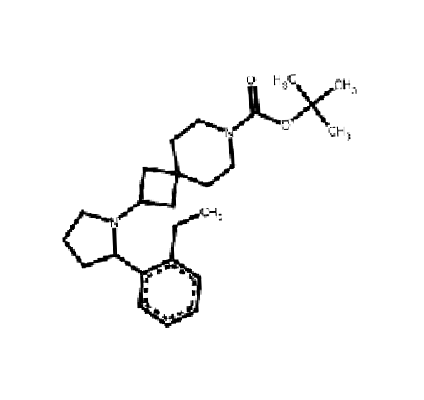 CCc1ccccc1C1CCCN1C1CC2(CCN(C(=O)OC(C)(C)C)CC2)C1